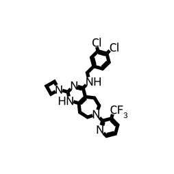 FC(F)(F)c1cccnc1N1CCC2=C(CC1)C(NCc1ccc(Cl)c(Cl)c1)=NC(N1CCC1)N2